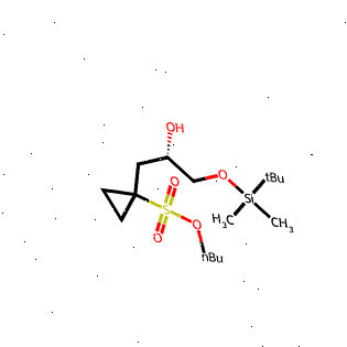 CCCCOS(=O)(=O)C1(C[C@H](O)CO[Si](C)(C)C(C)(C)C)CC1